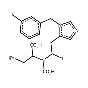 CC(C)CC(C(=O)O)N(C(=O)O)C(I)Cc1cncn1Cc1cccc(I)c1